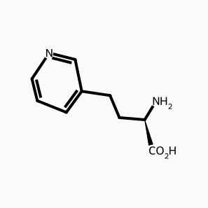 N[C@H](CCc1cccnc1)C(=O)O